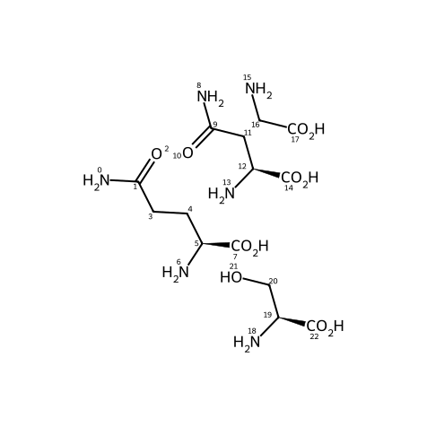 NC(=O)CC[C@H](N)C(=O)O.NC(=O)C[C@H](N)C(=O)O.NCC(=O)O.N[C@@H](CO)C(=O)O